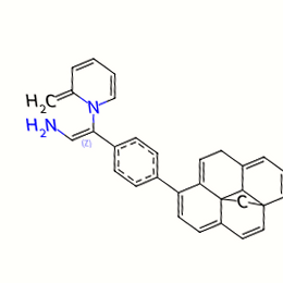 C=C1C=CC=CN1/C(=C\N)c1ccc(C2=CC=C3C=CC45C=CC=C6CC=C2C3(C4)C65)cc1